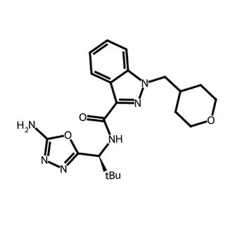 CC(C)(C)[C@H](NC(=O)c1nn(CC2CCOCC2)c2ccccc12)c1nnc(N)o1